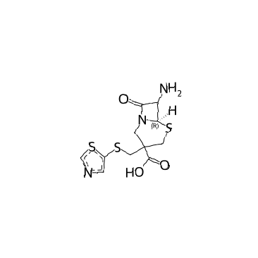 NC1C(=O)N2CC(CSc3cncs3)(C(=O)O)CS[C@H]12